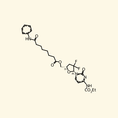 CCOC(=O)Nc1ccn([C@@H]2O[C@H](COC(=O)CCCCCCC(=O)Nc3ccccc3)CC2(F)F)c(=O)n1